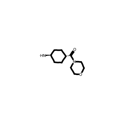 [NH][C@H]1CC[C@H](C(=O)N2CCOCC2)CC1